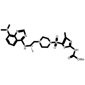 COC(=O)Nc1nc(C)c(S(=O)(=O)N2CCN(C[C@H](C)Nc3ncnc4c(N(C)C)cccc34)CC2)s1